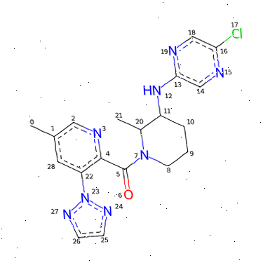 Cc1cnc(C(=O)N2CCCC(Nc3cnc(Cl)cn3)C2C)c(-n2nccn2)c1